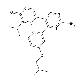 CC(C)COc1cccc(-c2nc(N)ncc2-c2ccc(=O)n(C(C)C)n2)c1